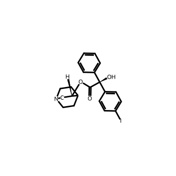 O=C(O[C@H]1CN2CCC1CC2)[C@](O)(c1ccccc1)c1ccc(I)cc1